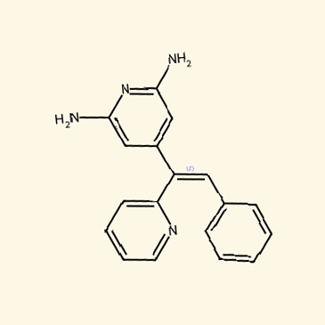 Nc1cc(/C(=C/c2ccccc2)c2ccccn2)cc(N)n1